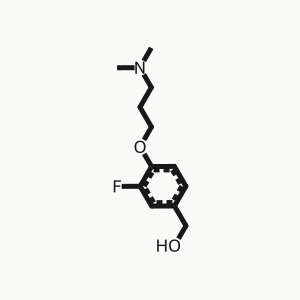 CN(C)CCCOc1ccc(CO)cc1F